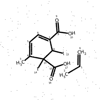 C=CC.CC1=CC=C(C(=O)O)C(I)C1(I)C(=O)O